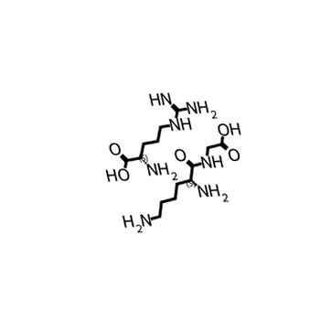 N=C(N)NCCC[C@H](N)C(=O)O.NCCCC[C@H](N)C(=O)NCC(=O)O